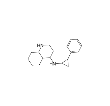 c1ccc(C2CC2NC2CCNC3CCCCC32)cc1